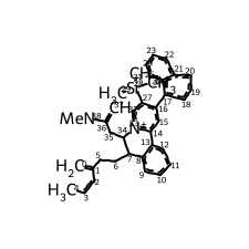 C=C(/C=C\C)CCC1c2ccccc2-c2cc(-c3cccc4ccccc34)c([Si](C)(C)C)c[n+]2C1CC(=C)NC